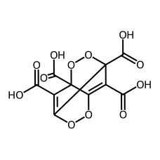 O=C(O)C1=C2OOC3=C(C(=O)O)C2(C(=O)O)OOC31C(=O)O